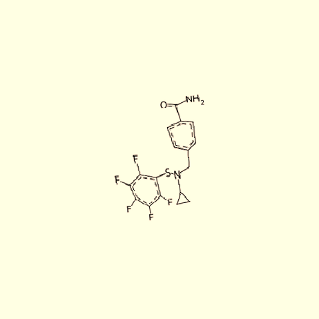 NC(=O)c1ccc(CN(Sc2c(F)c(F)c(F)c(F)c2F)C2CC2)cc1